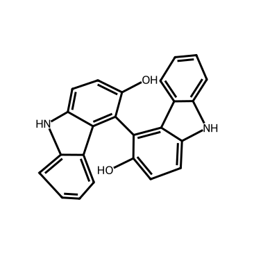 Oc1ccc2[nH]c3ccccc3c2c1-c1c(O)ccc2[nH]c3ccccc3c12